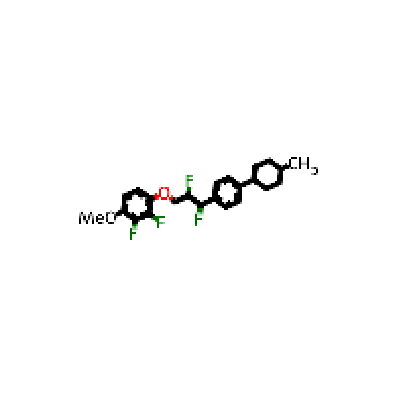 COc1ccc(OCC(F)C(F)c2ccc(C3CCC(C)CC3)cc2)c(F)c1F